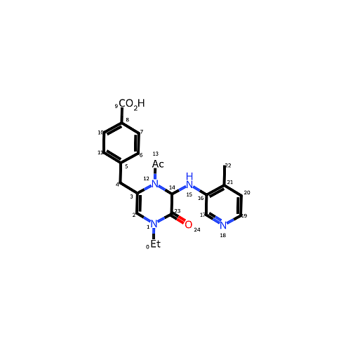 CCN1C=C(Cc2ccc(C(=O)O)cc2)N(C(C)=O)C(Nc2cnccc2C)C1=O